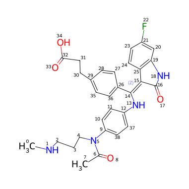 CNCCCN(C(C)=O)c1ccc(N/C(=C2\C(=O)Nc3cc(F)ccc32)c2ccc(CCC(=O)O)cc2)cc1